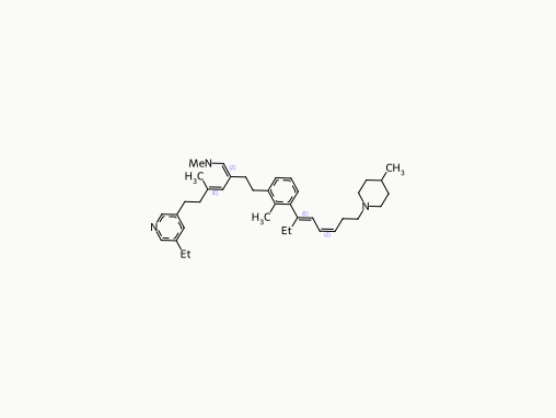 CC/C(=C\C=C/CCN1CCC(C)CC1)c1cccc(CCC(=C/NC)/C=C(\C)CCc2cncc(CC)c2)c1C